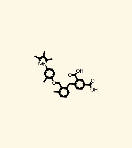 Cc1cc(-n2nc(C)c(C)c2C)ccc1OCc1c(C)cccc1Cc1ccc(C(=O)O)cc1C(=O)O